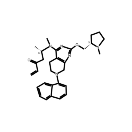 C=CC(=O)C[C@H](C)N(C)c1nc(OC[C@@H]2CCCN2C)nc2c1CCN(c1cccc3ccccc13)C2